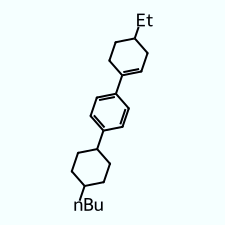 CCCCC1CCC(c2ccc(C3=CCC(CC)CC3)cc2)CC1